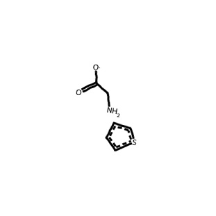 NCC([O])=O.c1ccsc1